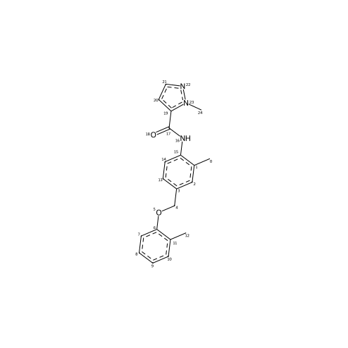 Cc1cc(COc2ccccc2C)ccc1NC(=O)c1ccnn1C